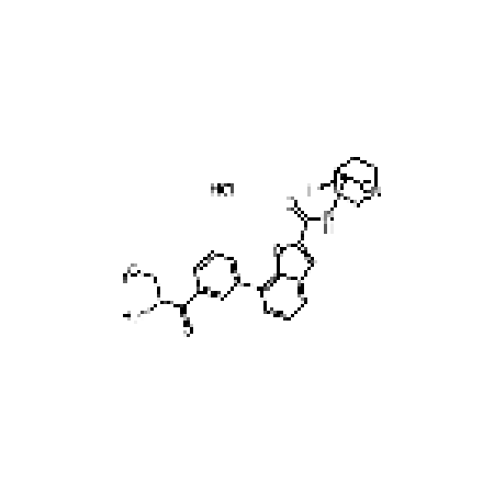 CCN(C)C(=O)c1cccc(-c2cccc3cc(C(=O)N[C@H]4CN5CCC4CC5)oc23)c1.Cl